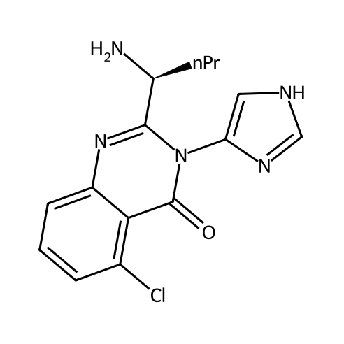 CCC[C@H](N)c1nc2cccc(Cl)c2c(=O)n1-c1c[nH]cn1